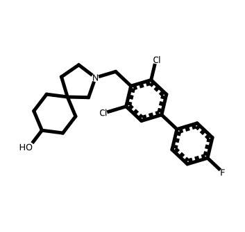 OC1CCC2(CC1)CCN(Cc1c(Cl)cc(-c3ccc(F)cc3)cc1Cl)C2